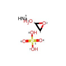 C1CO1.O.O=S(=O)(O)O.[NaH]